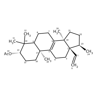 C=C[C@@]12CCC3=C(CCC4C(C)(C)[C@@H](OC(C)=O)CC[C@]34C)[C@@]1(C)CC[C@H]2C